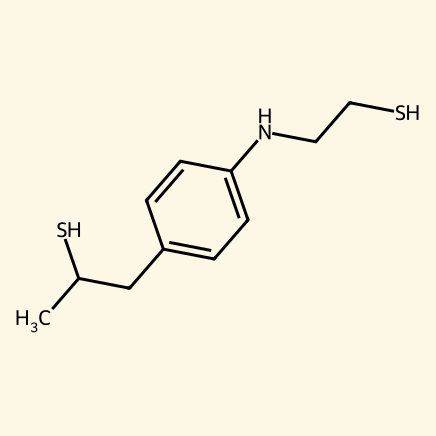 CC(S)Cc1ccc(NCCS)cc1